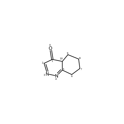 O=C1C=NN=C2CCCCC12